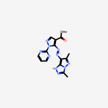 COC(=O)c1cnn(-c2ncccn2)c1/N=N/c1c(C)nn2c(C)n[nH]c12